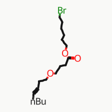 CCCCC#CCCOCCCC(=O)OCCCCCCBr